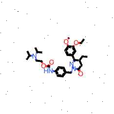 CCOc1cc(C2=NN(Cc3ccc(NC(=O)OCCN(C(C)C)C(C)C)cc3)C(=O)CC2CC)ccc1OC